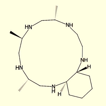 C[C@@H]1CN[C@@H](C)CN[C@@H]2CCCC[C@H]2NCCN[C@@H](C)CN1